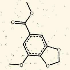 COC(=O)c1cc(OC)c2c(c1)OCO2